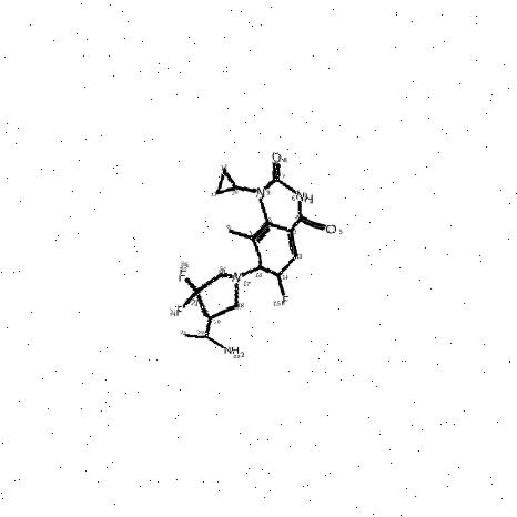 CC1=c2c(c(=O)[nH]c(=O)n2C2CC2)=CC(F)C1N1CC(C(C)N)C(F)(F)C1